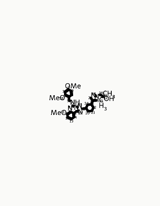 COc1ccc(CNc2nc3c(OC)cccc3c3nc(C4CCCC(c5cnn(CC(C)(C)O)c5)C4)nn23)c(OC)c1